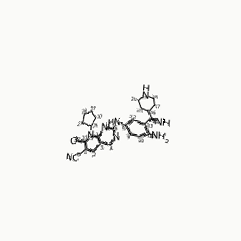 N#Cc1cc2cnc(Nc3ccc(N)c(C(=N)C4CCNCC4)c3)nc2n(C2CCCC2)c1=O